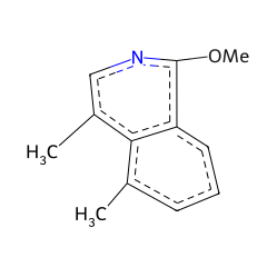 COc1ncc(C)c2c(C)cccc12